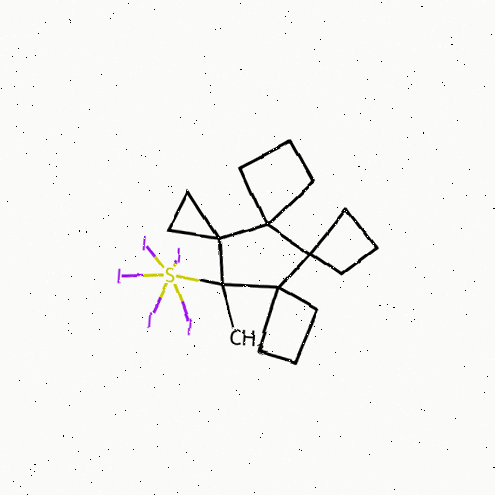 CC1(S(I)(I)(I)(I)I)C2(CCC2)C2(CCC2)C2(CCC2)C12CC2